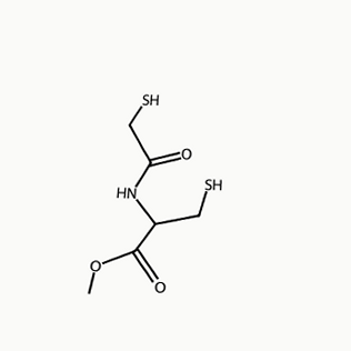 COC(=O)C(CS)NC(=O)CS